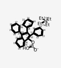 CC[N+](CC)(CC)CC.[O-]B(O)Oc1c(-c2ccccc2)c(-c2ccccc2)c(-c2ccccc2)c2ccccc12